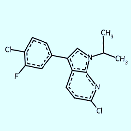 CC(C)n1cc(-c2ccc(Cl)c(F)c2)c2ccc(Cl)nc21